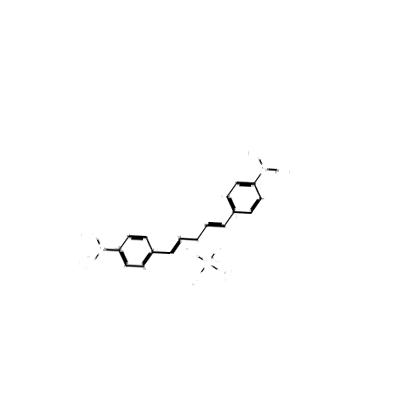 CN(C)c1ccc(C=CCC=Cc2ccc(N(C)C)cc2)cc1.[O-][Cl+3]([O-])([O-])O